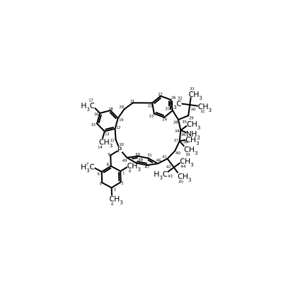 CC1=CC(C)CC(C)=C1CP1Cc2c(C)cc(C)cc2CCc2ccc(cc2)C(CC(C)(C)C)C(C)(N)C(C)(C)CC(C(C)(C)C)c2ccc1cc2